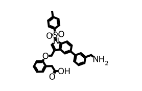 Cc1ccc(S(=O)(=O)n2cc(COc3ccccc3CC(=O)O)c3cc(-c4cccc(CN)c4)ccc32)cc1